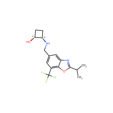 CC(C)c1nc2cc(CN[C@@H]3CC[C@@H]3O)cc(C(F)(F)F)c2o1